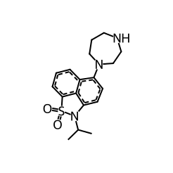 CC(C)N1c2ccc(N3CCCNCC3)c3cccc(c23)S1(=O)=O